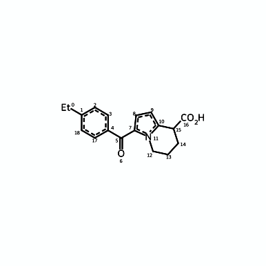 CCc1ccc(C(=O)c2ccc3n2CCCC3C(=O)O)cc1